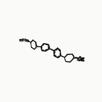 CCCCCCCCCCC1CCC(c2ccc(-c3ccc(C4=CCC(CCCCCC)CC4)cc3)cc2)CC1